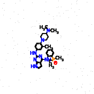 Cc1cc(Nc2nc(Nc3ccccc3P(C)(C)=O)c3cc[nH]c3n2)ccc1N1CCC(N(C)C)CC1